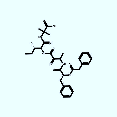 CC[C@H](C)[C@H](NC(=O)C(=O)C(C)NC(=O)[C@H](Cc1ccccc1)NC(=O)Cc1ccccc1)C(=O)NC(C)(C)C(=O)O